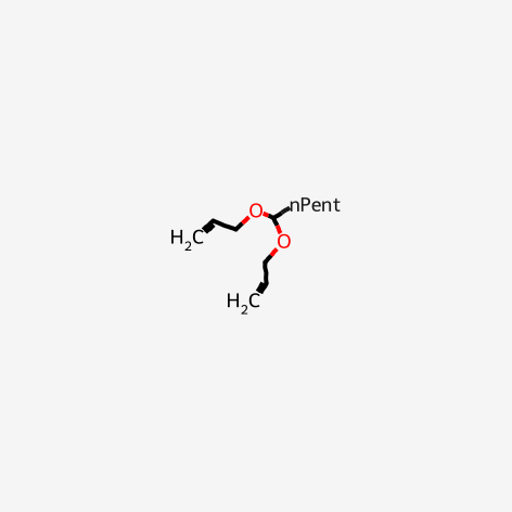 C=CCOC(CCCCC)OCC=C